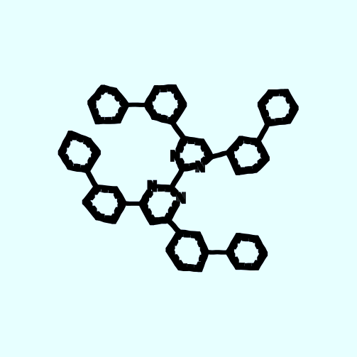 c1ccc(-c2cccc(-c3cc(-c4cccc(-c5ccccc5)c4)nc(-c4nc(-c5cccc(-c6ccccc6)c5)cc(-c5cccc(-c6ccccc6)c5)n4)n3)c2)cc1